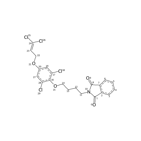 O=C1c2ccccc2C(=O)N1CCCCOc1c(Cl)cc(OCC=C(Cl)Cl)cc1Cl